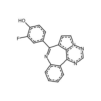 Oc1ccc(C2=Nc3ccccc3-c3ncnn4ccc2c34)cc1F